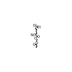 C=CC(=O)OCCOC(=O)/C(C#N)=C/C/C=C/N(CC)CC